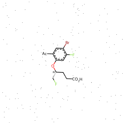 CC(=O)c1cc(Br)c(F)cc1O[C@@H](CF)CCC(=O)O